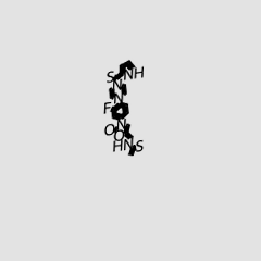 CC(=S)NCC1CN(c2ccc(N3CCN(C(=S)c4ccc[nH]4)CC3)c(F)c2)C(=O)O1